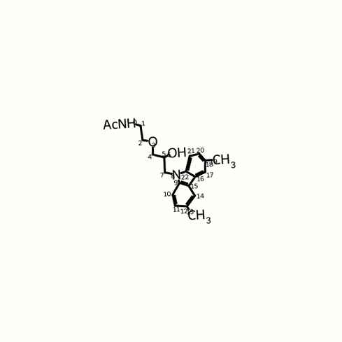 CC(=O)NCCOCC(O)Cn1c2ccc(C)cc2c2cc(C)ccc21